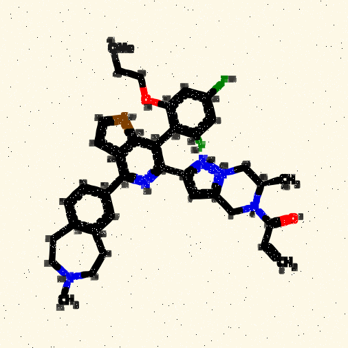 C=CC(=O)N1Cc2cc(-c3nc(-c4ccc5c(c4)CCN(C)CC5)c4ccsc4c3-c3c(F)cc(F)cc3OCCOC)nn2C[C@H]1C